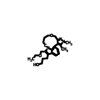 CCOCc1c(CCCO)c2cccc3c2n1CCCCOCc1nn(C)c(C)c1-3